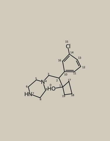 OC1(C(CN2CCNCC2)c2cccc(Cl)c2)CCC1